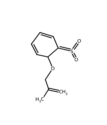 C=C(C)COC1C=CC=CC1=S(=O)=O